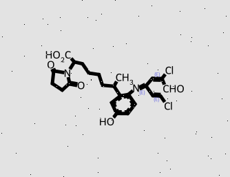 CC(CCCCC(C(=O)O)N1C(=O)CCC1=O)c1cc(O)ccc1/N=C(\C=C\Cl)/C=C(/Cl)C=O